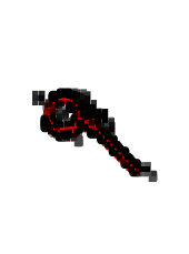 COCCOCCOCCOCCOCCOCCNC(=O)O[C@@H]1CC[C@@H](C[C@@H](N)[C@@H]2CC[C@H](C)/C=C(\C)[C@@H](O)[C@@H](O)C(=O)[C@H](C)C[C@H](C)/C=C/C=C/C=C(\C)[C@@H](OC)C[C@@H]3CC[C@@H](C)[C@@](O)(O3)C(=O)C(=O)N3CCCC[C@H]3C(=O)O2)C[C@H]1OC